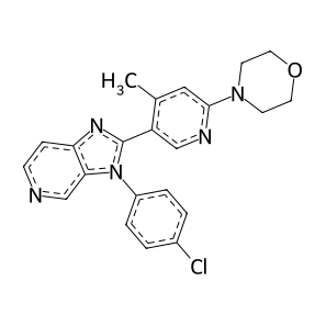 Cc1cc(N2CCOCC2)ncc1-c1nc2ccncc2n1-c1ccc(Cl)cc1